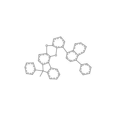 CC1(c2ccccc2)c2ccccc2-c2c1ccc1c2Oc2c(cccc2-c2ccc(-c3ccccc3)c3ccccc23)O1